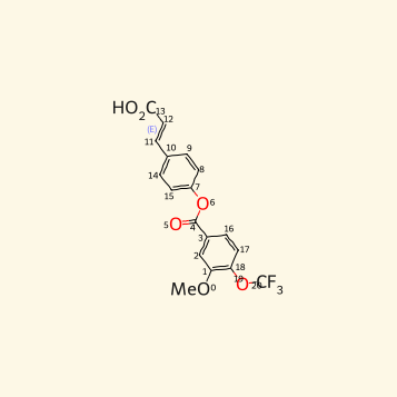 COc1cc(C(=O)Oc2ccc(/C=C/C(=O)O)cc2)ccc1OC(F)(F)F